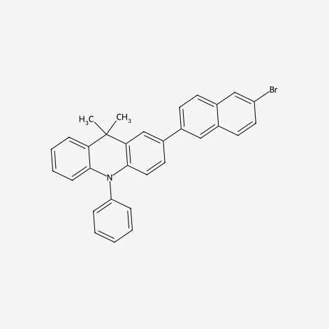 CC1(C)c2ccccc2N(c2ccccc2)c2ccc(-c3ccc4cc(Br)ccc4c3)cc21